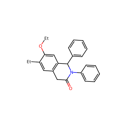 CCOc1cc2c(cc1CC)CC(=O)N(c1ccccc1)C2c1ccccc1